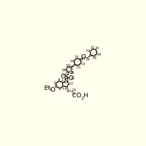 CCOc1ccc2c(c1)c(CCC(=O)O)cn2S(=O)(=O)c1ccc(-c2ccc(OCc3ccccc3)cc2)s1